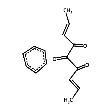 C/C=C/C(=O)C(=O)C(=O)/C=C/C.c1ccccc1